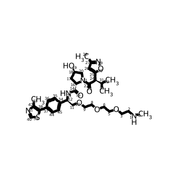 CNCCOCCOCCOC[C@H](NC(=O)[C@@H]1C[C@@H](O)CN1C(=O)[C@@H](c1cc(C)no1)C(C)C)c1ccc(-c2scnc2C)cc1